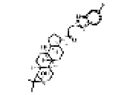 C[C@]12CC[C@@H]3[C@H]4CC[C@@]5(O)C([C@H]4CC[C@H]3[C@@H]1CC[C@@H]2C(=O)Cn1nc2ccc(F)cc2n1)C5(F)F